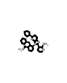 NC(=O)c1cccc(-n2c(-c3cccnc3N)nc3ccc(-c4ccccc4)nc32)c1Cc1ccccc1